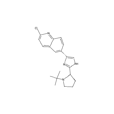 CC(C)(C)N1CCCC1c1nc(-c2ccc3nc(Cl)ccc3c2)c[nH]1